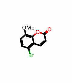 COc1ccc(Br)c2ccc(=O)oc12